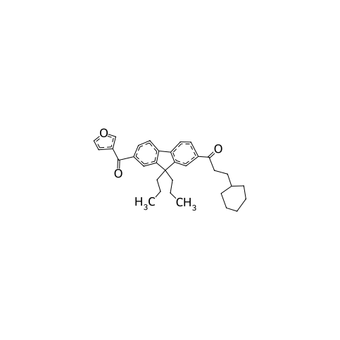 CCCC1(CCC)c2cc(C(=O)CCC3CCCCC3)ccc2-c2ccc(C(=O)c3ccoc3)cc21